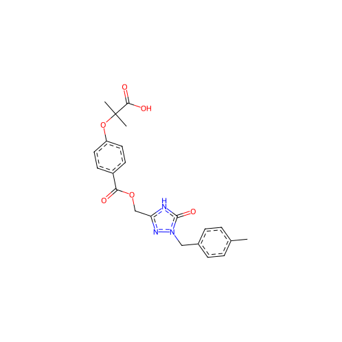 Cc1ccc(Cn2nc(COC(=O)c3ccc(OC(C)(C)C(=O)O)cc3)[nH]c2=O)cc1